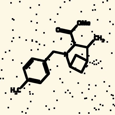 COC(=O)C1C(C)C2CC(C2)N1Cc1ccc(C)cc1